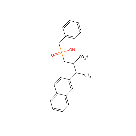 CC(c1ccc2ccccc2c1)C(CP(=O)(O)Cc1ccccc1)C(=O)O